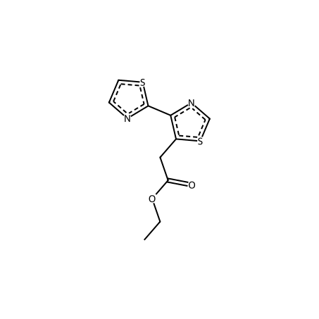 CCOC(=O)Cc1scnc1-c1nccs1